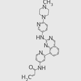 C=CC(=O)Nc1ccnc(-c2cccc3cnc(Nc4ccc(N5CCN(C)CC5)nc4)nc23)c1